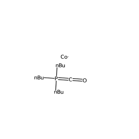 CCCCP(=C=O)(CCCC)CCCC.[Co]